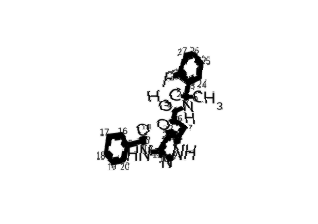 CC(C)(NC(=O)c1cc2[nH]nc(NC(=O)c3ccccc3)c2o1)c1ccccc1F